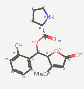 COC1=CC(=O)OC1C(OC(=O)[C@@H]1CCCN1)c1ccccc1F